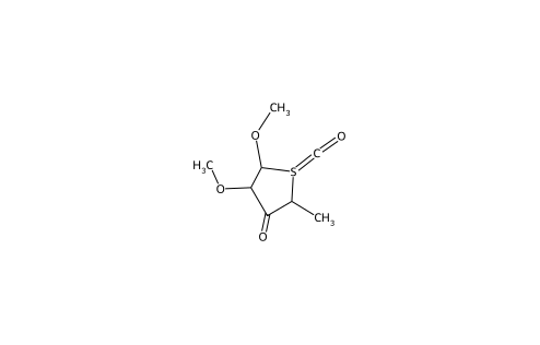 COC1C(=O)C(C)S(=C=O)C1OC